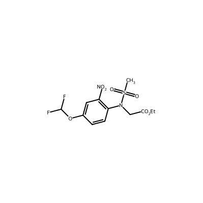 CCOC(=O)CN(c1ccc(OC(F)F)cc1[N+](=O)[O-])S(C)(=O)=O